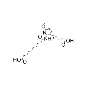 COc1ccc(SCCCC(=O)O)c(NC(=O)CCCCCCCCC(=O)O)n1